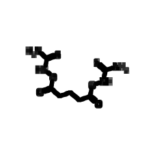 NC(=S)NOC(=O)CCCC(=O)ONC(N)=S